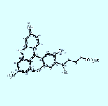 CCOC(=O)CCCN(CC)c1cc(OC)c(-c2c3ccc(=N)cc-3oc3cc(N)ccc23)cc1C